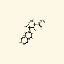 CC(N(O)C(N)=O)C1(c2ccc3ccccc3c2)CC1